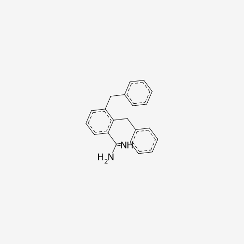 N=C(N)c1cccc(Cc2ccccc2)c1Cc1ccccc1